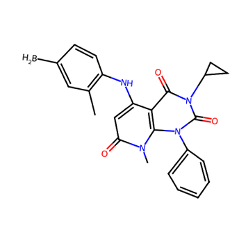 Bc1ccc(Nc2cc(=O)n(C)c3c2c(=O)n(C2CC2)c(=O)n3-c2ccccc2)c(C)c1